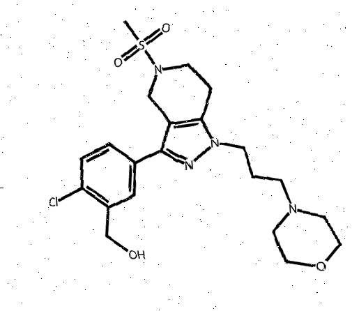 CS(=O)(=O)N1CCc2c(c(-c3ccc(Cl)c(CO)c3)nn2CCCN2CCOCC2)C1